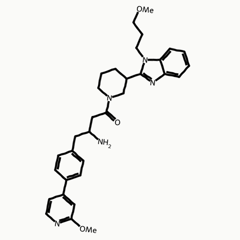 COCCCn1c(C2CCCN(C(=O)CC(N)Cc3ccc(-c4ccnc(OC)c4)cc3)C2)nc2ccccc21